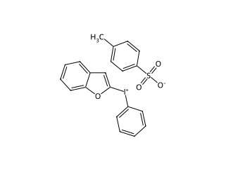 Cc1ccc(S(=O)(=O)[O-])cc1.c1ccc([I+]c2cc3ccccc3o2)cc1